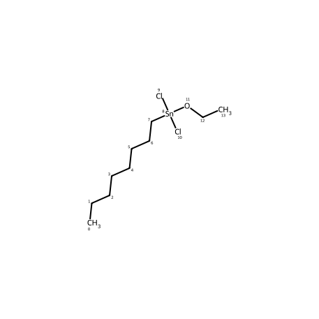 CCCCCCC[CH2][Sn]([Cl])([Cl])[O]CC